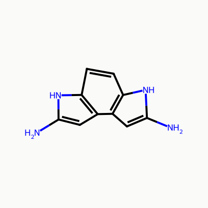 Nc1cc2c(ccc3[nH]c(N)cc32)[nH]1